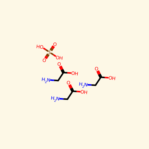 NCC(=O)O.NCC(=O)O.NCC(=O)O.O=S(=O)(O)O